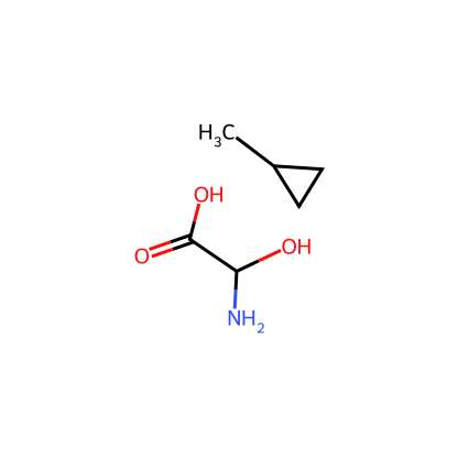 CC1CC1.NC(O)C(=O)O